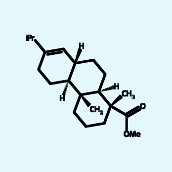 COC(=O)[C@]1(C)CCC[C@@]2(C)[C@H]1CC[C@H]1C=C(C(C)C)CC[C@@H]12